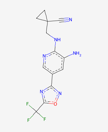 N#CC1(CNc2ncc(-c3noc(C(F)(F)F)n3)cc2N)CC1